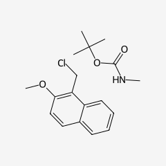 CNC(=O)OC(C)(C)C.COc1ccc2ccccc2c1CCl